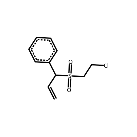 C=CC(c1ccccc1)S(=O)(=O)CCCl